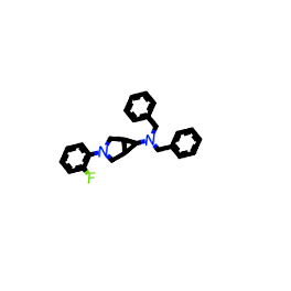 Fc1ccccc1N1CC2C(C1)C2N(Cc1ccccc1)Cc1ccccc1